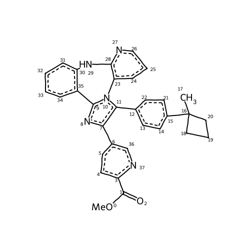 COC(=O)c1ccc(-c2nc3n(c2-c2ccc(C4(C)CCC4)cc2)-c2cccnc2Nc2ccccc2-3)cn1